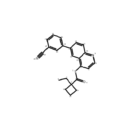 CCC1(C(=O)Sc2ccnc3ccc(-c4cccc(C#N)c4)cc23)CCC1